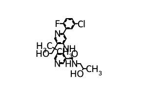 CC(O)CNC(=O)c1cnccc1Nc1cc(-c2cc(Cl)ccc2F)ncc1C(C)(C)CO